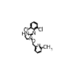 Cc1cccc(CON2CCN/C2=N\c2c(Cl)cccc2Cl)n1